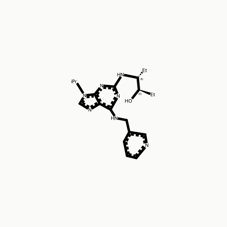 CC[C@@H](O)[C@@H](CC)Nc1nc(NCc2cccnc2)c2ncn(C(C)C)c2n1